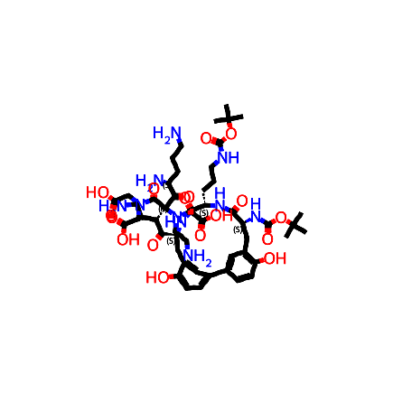 CC(C)(C)OC(=O)NCCC[C@@H]1NC(=O)[C@@H](NC(=O)OC(C)(C)C)Cc2cc(ccc2O)-c2ccc(O)c(c2)C[C@@H](C(=O)C(CCN)[C@@](C(=O)[C@@H](N)CCCN)(C(=O)N(CC(=O)O)CC(=O)O)N(CCN)CC(=O)O)NC1=O